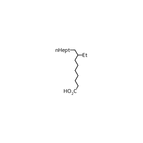 CCCCCCCCC(CC)CCCCCCC(=O)O